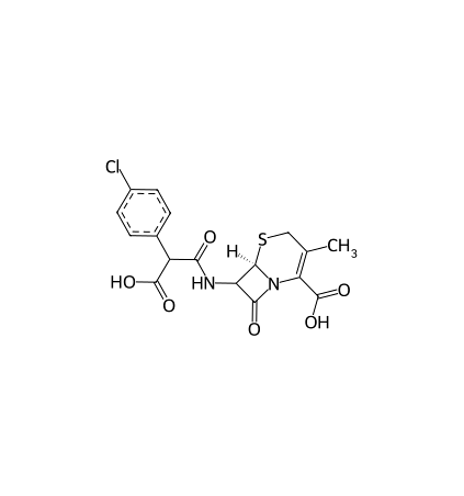 CC1=C(C(=O)O)N2C(=O)C(NC(=O)C(C(=O)O)c3ccc(Cl)cc3)[C@H]2SC1